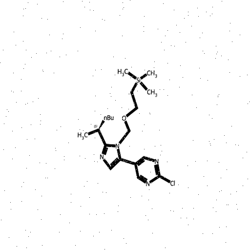 CCCC[C@H](C)c1ncc(-c2cnc(Cl)nc2)n1COCC[Si](C)(C)C